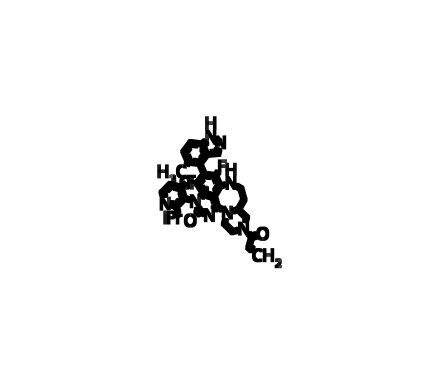 C=CC(=O)N1CCN2c3nc(=O)n(-c4c(C)ccnc4C(C)C)c4c(F)c(-c5c(C)ccc6[nH]ncc56)c(F)c(c34)NCCC2C1